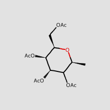 CC(=O)OC[C@H]1O[C@@H](C)C(OC(C)=O)[C@@H](OC(C)=O)[C@H]1OC(C)=O